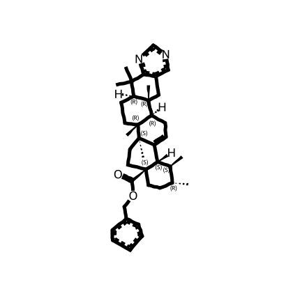 C[C@H]1[C@H](C)CC[C@]2(C(=O)OCc3ccccc3)CC[C@]3(C)C(=CC[C@@H]4[C@@]5(C)Cc6cncnc6C(C)(C)[C@@H]5CC[C@]43C)[C@H]12